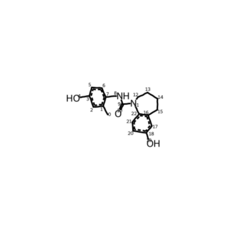 Cc1cc(O)ccc1NC(=O)N1CCCCc2cc(O)ccc21